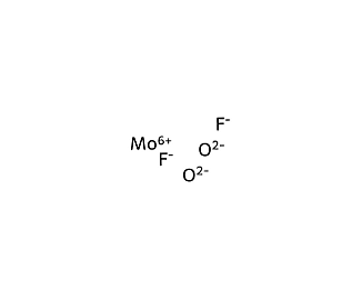 [F-].[F-].[Mo+6].[O-2].[O-2]